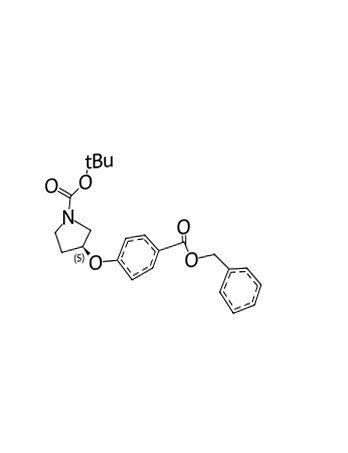 CC(C)(C)OC(=O)N1CC[C@H](Oc2ccc(C(=O)OCc3ccccc3)cc2)C1